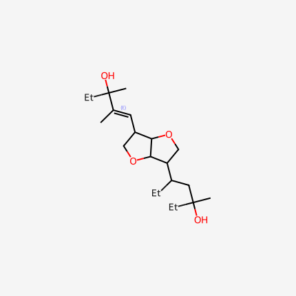 CCC(CC(C)(O)CC)C1COC2C(/C=C(\C)C(C)(O)CC)COC12